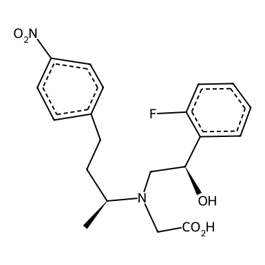 C[C@@H](CCc1ccc([N+](=O)[O-])cc1)N(CC(=O)O)C[C@H](O)c1ccccc1F